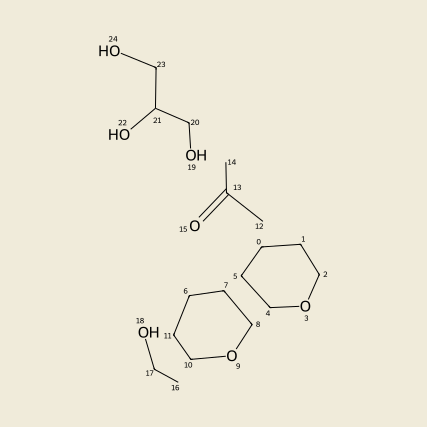 C1CCOCC1.C1CCOCC1.CC(C)=O.CCO.OCC(O)CO